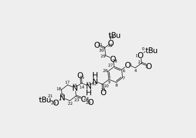 CC(C)(C)OC(=O)COc1ccc(C(=O)NNC(=O)N2CCN(OC(C)(C)C)CC2=C=O)cc1OCC(=O)OC(C)(C)C